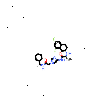 CCC[C@H](N[C@H]1CCc2cc(F)cc(F)c2C1)C(=O)Nc1cn(CC(=O)N[C@H](C)C2CCCCC2)cn1